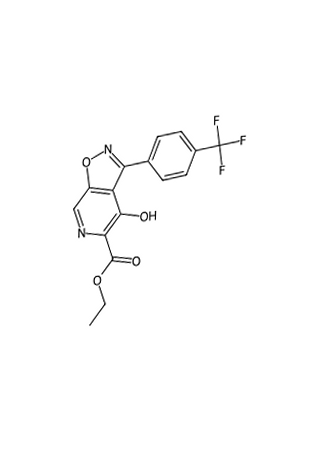 CCOC(=O)c1ncc2onc(-c3ccc(C(F)(F)F)cc3)c2c1O